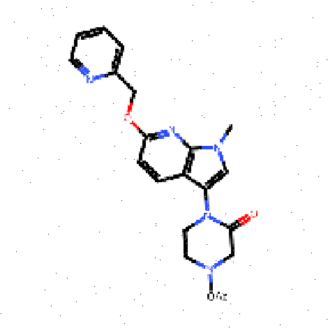 CC(=O)ON1CCN(c2cn(C)c3nc(OCc4ccccn4)ccc23)C(=O)C1